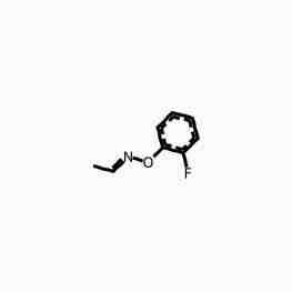 CC=NOc1ccccc1F